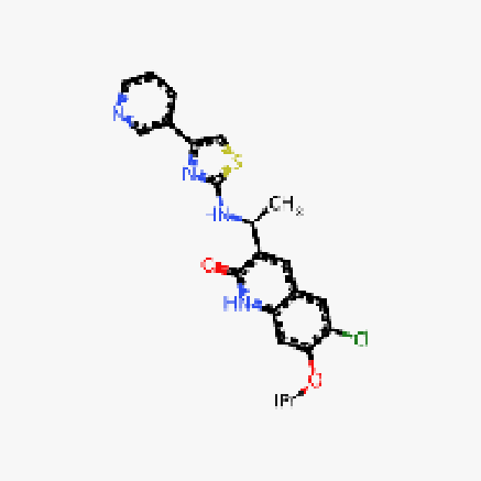 CC(C)Oc1cc2[nH]c(=O)c([C@H](C)Nc3nc(-c4cccnc4)cs3)cc2cc1Cl